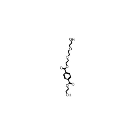 O=C(OCCO)c1ccc(C(=O)OCCOCCOCCO)cc1